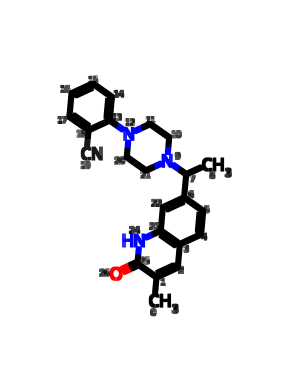 Cc1cc2ccc(C(C)N3CCN(c4ccccc4C#N)CC3)cc2[nH]c1=O